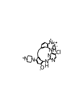 COc1cc(N2CCN(C)CC2)c2cc1Nc1ncc(Cl)c(n1)Nc1cc(ccc1N(C)[S+](C)[O-])CC2